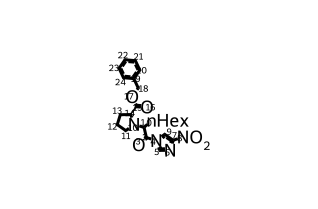 CCCCCCC(C(=O)n1cnc([N+](=O)[O-])c1)N1CCC[C@H]1C(=O)OCc1ccccc1